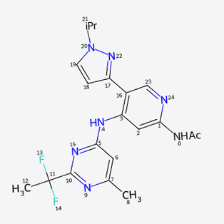 CC(=O)Nc1cc(Nc2cc(C)nc(C(C)(F)F)n2)c(-c2ccn(C(C)C)n2)cn1